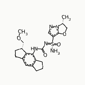 COC[C@H]1CCc2cc3c(c(NC(=O)N=[S@](N)(=O)c4cnn5c4OC[C@H]5C)c21)CCC3